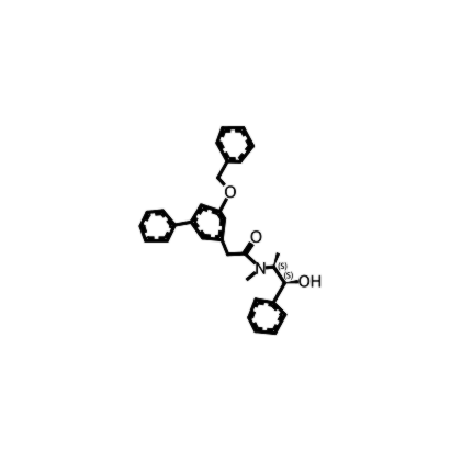 C[C@@H]([C@@H](O)c1ccccc1)N(C)C(=O)Cc1cc(OCc2ccccc2)cc(-c2ccccc2)c1